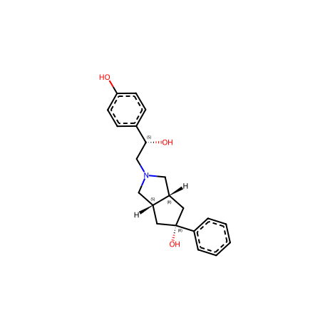 Oc1ccc([C@H](O)CN2C[C@@H]3C[C@@](O)(c4ccccc4)C[C@@H]3C2)cc1